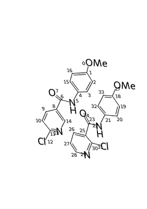 COc1ccc(NC(=O)c2ccc(Cl)nc2)cc1.COc1ccc(NC(=O)c2cccnc2Cl)cc1